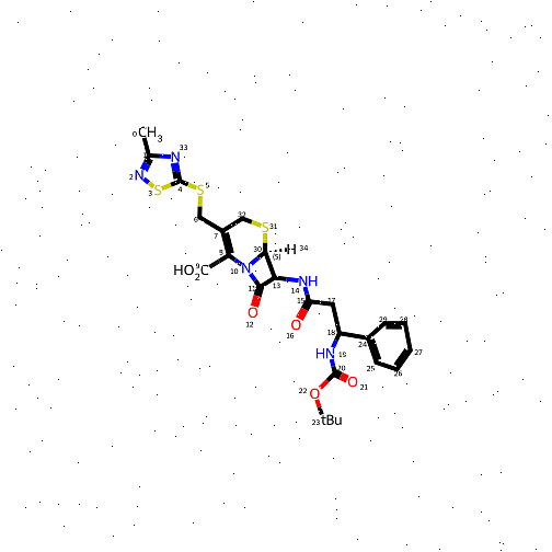 Cc1nsc(SCC2=C(C(=O)O)N3C(=O)C(NC(=O)CC(NC(=O)OC(C)(C)C)c4ccccc4)[C@@H]3SC2)n1